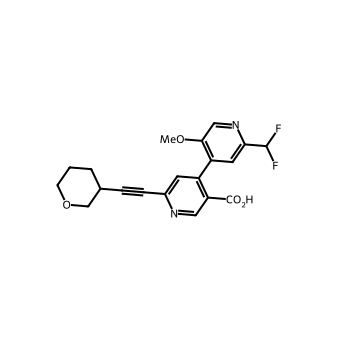 COc1cnc(C(F)F)cc1-c1cc(C#CC2CCCOC2)ncc1C(=O)O